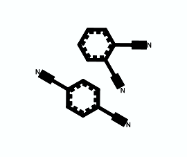 N#Cc1ccc(C#N)cc1.N#Cc1ccccc1C#N